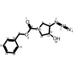 [N-]=[N+]=NC1CN(C(=O)OCc2ccccc2)C[C@@H]1O